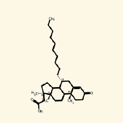 C[C@]1(CC(=O)O)CCC2C3C(CC[C@@]21C)[C@@]1(C)CCC(=O)C=C1C[C@H]3CCCCCCCCCO